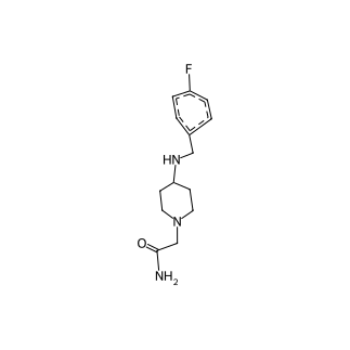 NC(=O)CN1CCC(NCc2ccc(F)cc2)CC1